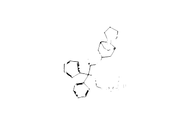 COCOC(C(=O)OC1CC2CCC(C1)[N+]21CCCC1)(c1ccccc1)c1ccccc1.O=C[O-]